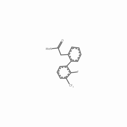 CNC(=O)Cc1ccccc1-c1cccc(C(F)(F)F)c1F